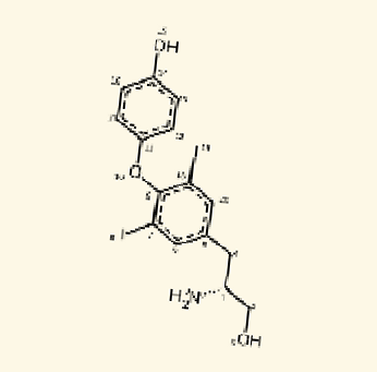 N[C@@H](CO)Cc1cc(I)c(Oc2ccc(O)cc2)c(I)c1